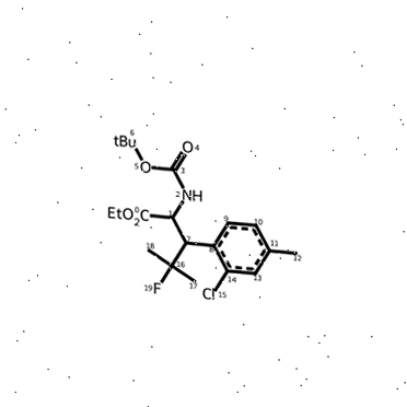 CCOC(=O)C(NC(=O)OC(C)(C)C)C(c1ccc(C)cc1Cl)C(C)(C)F